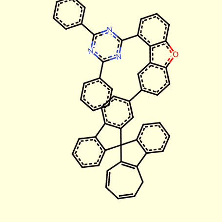 C1=CCC2=C(C=C1)C1(c3ccccc32)c2ccccc2-c2ccc(-c3ccc4oc5cccc(-c6nc(-c7ccccc7)nc(-c7ccccc7)n6)c5c4c3)cc21